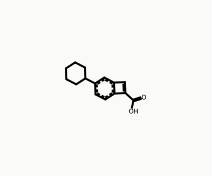 O=C(O)C1=Cc2cc(C3CCCCC3)ccc21